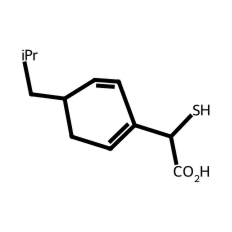 CC(C)CC1C=CC(C(S)C(=O)O)=CC1